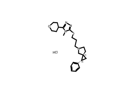 Cl.Cn1c(SCCCN2CC[C@]3(C[C@@H]3c3ccccc3)C2)nnc1C1CCOCC1